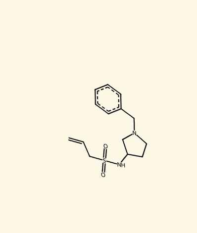 C=CCS(=O)(=O)NC1CCN(Cc2ccccc2)C1